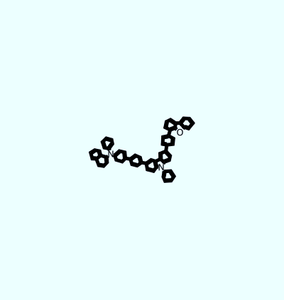 C1=C(c2ccc(-c3ccc4c(c3)c3cc(-c5ccc(-c6cccc7c6oc6ccccc67)cc5)ccc3n4-c3ccccc3)cc2)CCC(N(c2ccccc2)c2cccc3ccccc23)=C1